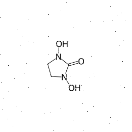 O=C1N(O)CCN1O